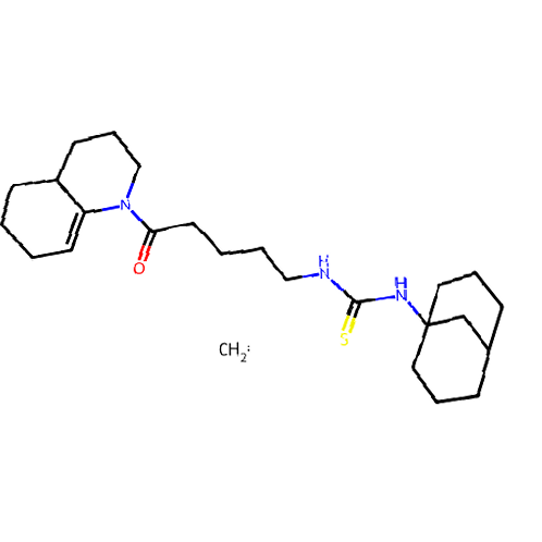 O=C(CCCCNC(=S)NC12CCCC(CCC1)C2)N1CCCC2CCCC=C21.[CH2]